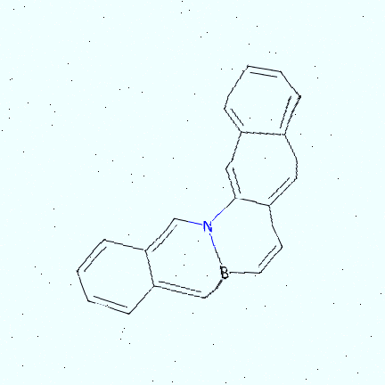 C1=Cc2cc3ccccc3cc2N2C=c3ccccc3=CB12